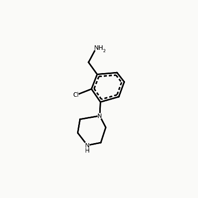 NCc1cccc(N2CCNCC2)c1Cl